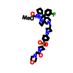 COC(=O)N[C@H]1CCC[C@@H]1C(CN1CCC1)(c1cccc(F)c1)C1CCN(CC2CN(c3ccc(S(=O)(=O)C4CN(C(=O)CN5CCOCC5)C4)cc3)C2)CC1